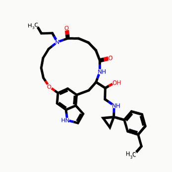 CCCN1CCCCOc2cc(c3cc[nH]c3c2)CC(C(O)CNC2(c3cccc(CC)c3)CC2)NC(=O)CCCC1=O